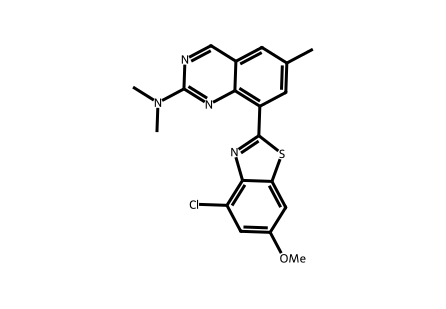 COc1cc(Cl)c2nc(-c3cc(C)cc4cnc(N(C)C)nc34)sc2c1